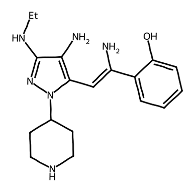 CCNc1nn(C2CCNCC2)c(/C=C(\N)c2ccccc2O)c1N